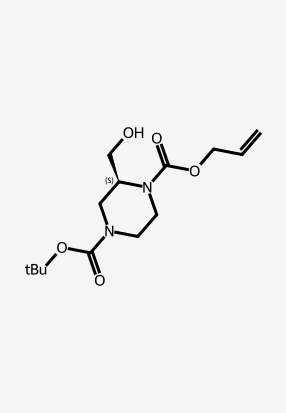 C=CCOC(=O)N1CCN(C(=O)OC(C)(C)C)C[C@H]1CO